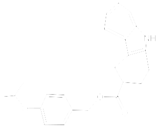 CC(C)Oc1ccc(COC(=O)C2CCc3[nH]c4ccccc4c3C2)cc1